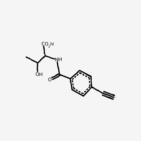 [C]#Cc1ccc(C(=O)NC(C(=O)O)C(C)O)cc1